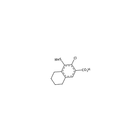 CSc1c(Cl)c(C(=O)O)cc2c1CCCC2